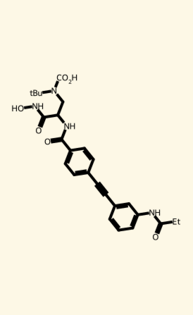 CCC(=O)Nc1cccc(C#Cc2ccc(C(=O)NC(CN(C(=O)O)C(C)(C)C)C(=O)NO)cc2)c1